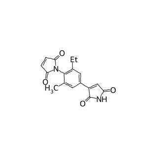 CCc1cc(C2=CC(=O)NC2=O)cc(C)c1N1C(=O)C=CC1=O